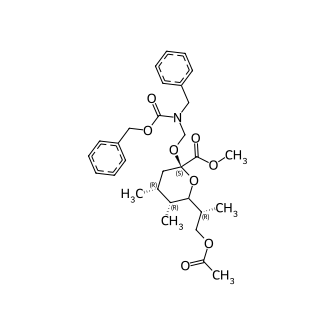 COC(=O)[C@@]1(OCN(Cc2ccccc2)C(=O)OCc2ccccc2)C[C@@H](C)[C@@H](C)C([C@H](C)COC(C)=O)O1